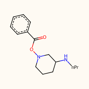 CCCNC1CCCN(OC(=O)c2ccccc2)C1